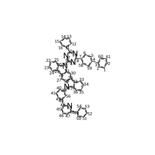 c1ccc(-c2ccc(-c3nc(-c4ccccc4)nc(-n4c5ccccc5c5cc6c(cc54)c4ccccc4n6-c4cccc(-c5cccc(-c6ccccc6)n5)c4)n3)cc2)cc1